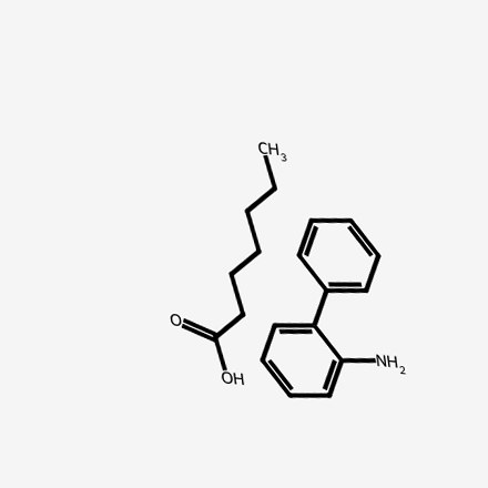 CCCCCCC(=O)O.Nc1ccccc1-c1ccccc1